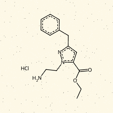 CCOC(=O)c1cc(Cc2ccccc2)nn1CCN.Cl